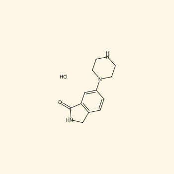 Cl.O=C1NCc2ccc(N3CCNCC3)cc21